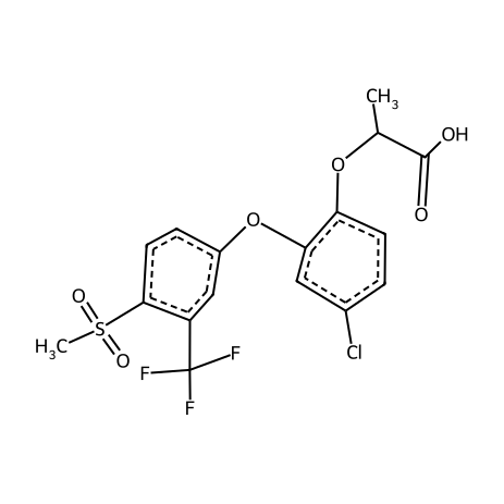 CC(Oc1ccc(Cl)cc1Oc1ccc(S(C)(=O)=O)c(C(F)(F)F)c1)C(=O)O